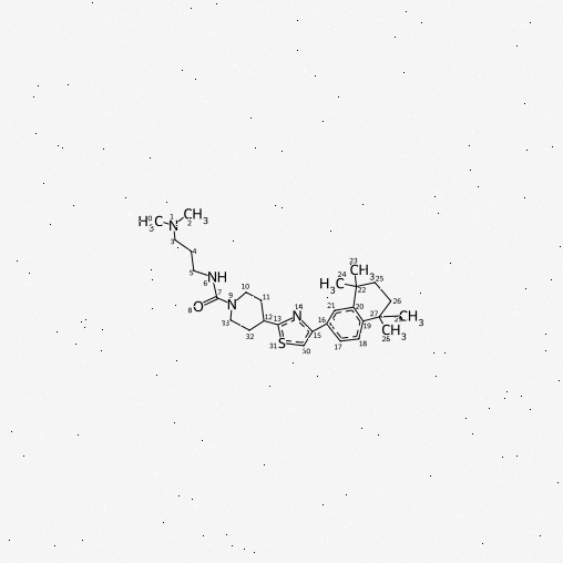 CN(C)CCCNC(=O)N1CCC(c2nc(-c3ccc4c(c3)C(C)(C)CCC4(C)C)cs2)CC1